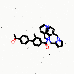 CC(=O)c1ccc(-c2ccc(C(=O)[N+]3(Cc4cccnc4)Cc4cccn4Cc4ccccc43)cc2C)cc1